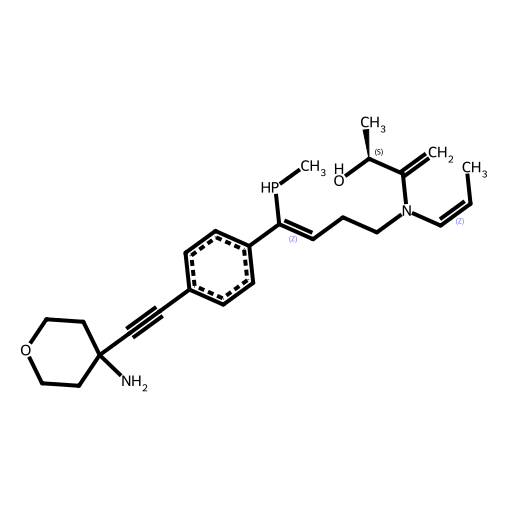 C=C([C@H](C)O)N(/C=C\C)CC/C=C(\PC)c1ccc(C#CC2(N)CCOCC2)cc1